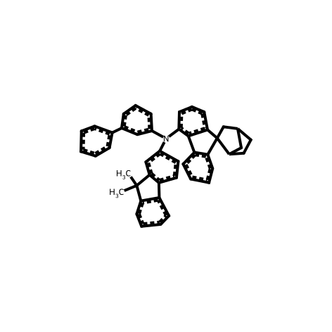 CC1(C)c2ccccc2-c2ccc(N(c3cccc(-c4ccccc4)c3)c3cccc4c3-c3ccccc3C43CC4CCC3C4)cc21